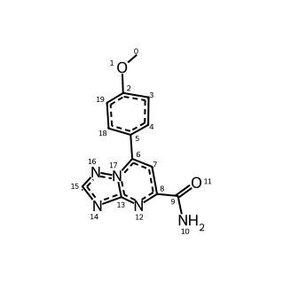 COc1ccc(-c2cc(C(N)=O)nc3n[c]nn23)cc1